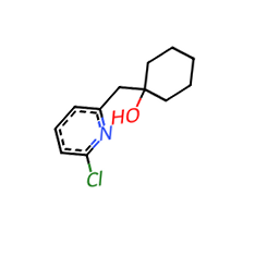 OC1(Cc2cccc(Cl)n2)CCCCC1